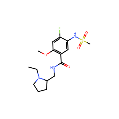 CCN1CCCC1CNC(=O)c1cc(NS(C)(=O)=O)c(F)cc1OC